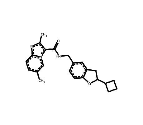 Cc1ccc2nc(C)c(C(=O)NCc3ccc4c(c3)CC(C3CCC3)O4)n2c1